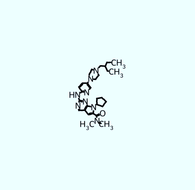 CCC(CC)CN1CCN(c2ccc(Nc3ncc4cc(C(=O)N(C)C)n(C5CCCC5)c4n3)nc2)CC1